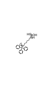 CON(CCCCCCNP(O)O)C(c1ccccc1)(c1ccccc1)c1ccccc1